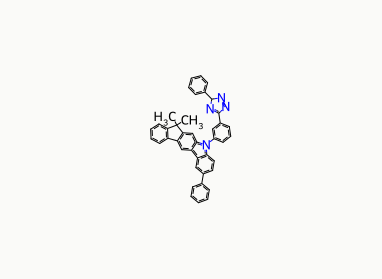 CC1(C)c2ccccc2-c2cc3c4cc(-c5ccccc5)ccc4n(-c4cccc(C5=NC(c6ccccc6)N=N5)c4)c3cc21